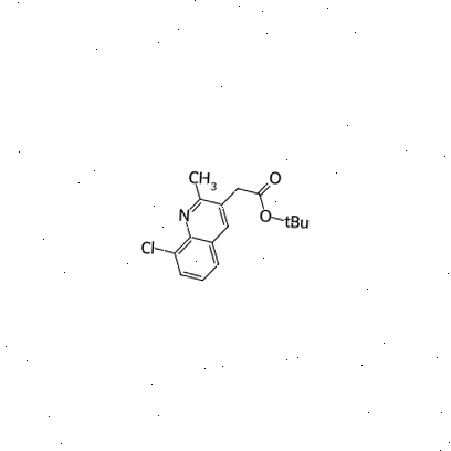 Cc1nc2c(Cl)cccc2cc1CC(=O)OC(C)(C)C